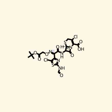 CC(C)(C)OC(=O)CO/N=C(/C(=O)NC1C(=O)N2C(C(=O)O)=C(Cl)CS[C@H]12)c1nc(NC=O)sc1Cl